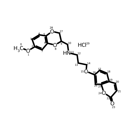 COc1ccc2c(c1)OC(CNCCCOc1ccc3ccc(=O)oc3c1)CO2.Cl